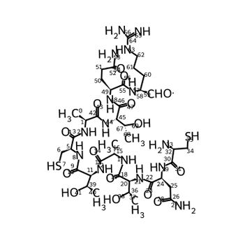 C[C@H](NC(=O)[C@H](CS)NC(=O)[C@@H](NC(=O)[C@H](C)NC(=O)[C@@H](NC(=O)[C@H](CC(N)=O)NC(=O)[C@@H](N)CS)[C@@H](C)O)[C@@H](C)O)C(=O)N[C@H](C(=O)N[C@@H](CCC(N)=O)C(=O)N[C@H]([C]=O)CCCNC(=N)N)[C@@H](C)O